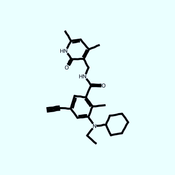 C#Cc1cc(C(=O)NCc2c(C)cc(C)[nH]c2=O)c(C)c(N(CC)C2CCCCC2)c1